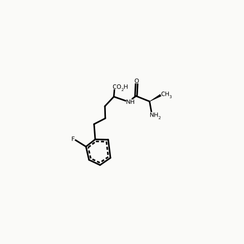 C[C@@H](N)C(=O)NC(CCCc1ccccc1F)C(=O)O